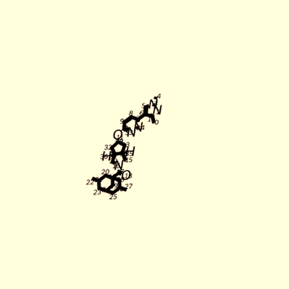 Cc1nn(C)cc1-c1ccc(O[C@@H]2C[C@@H]3CN(C(=O)C45CC(C)CC(CC(C)C4)C5)C[C@@H]3C2)nn1